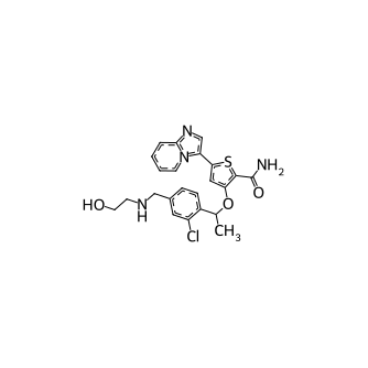 CC(Oc1cc(-c2cnc3ccccn23)sc1C(N)=O)c1ccc(CNCCO)cc1Cl